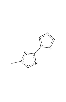 Cc1[c]nc(-c2cccs2)s1